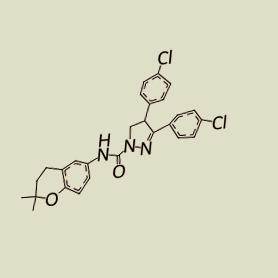 CC1(C)CCc2cc(NC(=O)N3CC(c4ccc(Cl)cc4)C(c4ccc(Cl)cc4)=N3)ccc2O1